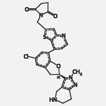 Cn1nc2c(c1[C@H]1Cc3cc(Cl)cc(-c4ccnc5cc(CN6C(=O)CCC6=O)sc45)c3O1)CNCC2